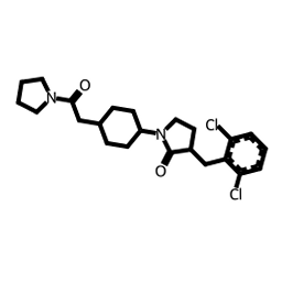 O=C(CC1CCC(N2CCC(Cc3c(Cl)cccc3Cl)C2=O)CC1)N1CCCC1